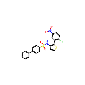 O=[N+]([O-])c1ccc(Cl)c(-c2sccc2NS(=O)(=O)c2ccc(-c3ccccc3)cc2)c1